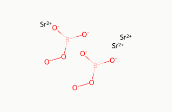 [O-]OB([O-])[O-].[O-]OB([O-])[O-].[Sr+2].[Sr+2].[Sr+2]